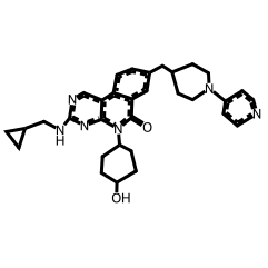 O=c1c2cc(CC3CCN(c4ccncc4)CC3)ccc2c2cnc(NCC3CC3)nc2n1C1CCC(O)CC1